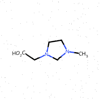 CN1CCN(CC(=O)O)C1